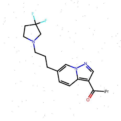 CC(C)C(=O)c1cnn2cc(CCCN3CCC(F)(F)C3)ccc12